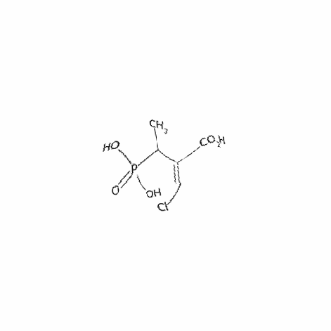 CC(/C(=C\Cl)C(=O)O)P(=O)(O)O